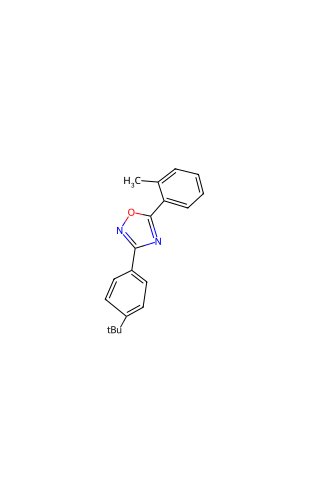 Cc1ccccc1-c1nc(-c2ccc(C(C)(C)C)cc2)no1